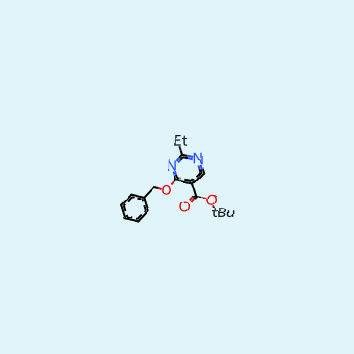 CCc1ncc(C(=O)OC(C)(C)C)c(OCc2ccccc2)n1